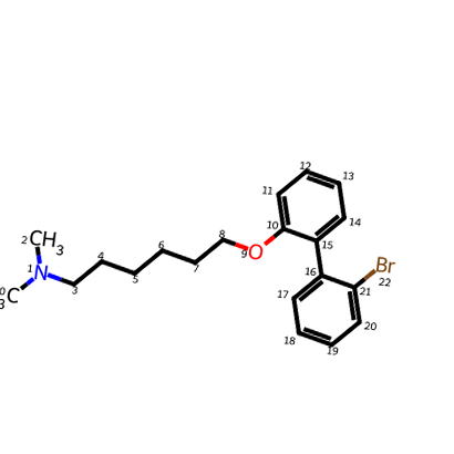 CN(C)CCCCCCOc1ccccc1-c1ccccc1Br